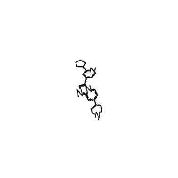 CN1CC=C(c2ccn3c(-c4ccnc(C5=CCCC5)c4)cnc3c2)CC1